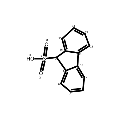 O=S(=O)(O)C1c2ccccc2-c2ccccc21